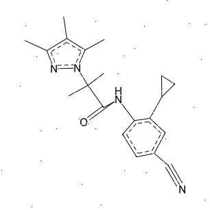 Cc1nn(C(C)(C)C(=O)Nc2ccc(C#N)cc2C2CC2)c(C)c1C